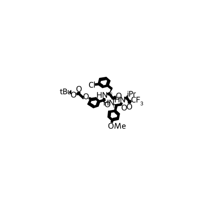 COc1ccc([C@H](NC(=O)[C@H](Cc2cccc(Cl)c2)NC(=O)c2cccc(OCC(=O)OC(C)(C)C)c2)C(=O)N[C@H](C(=O)C(F)(F)F)C(C)C)cc1